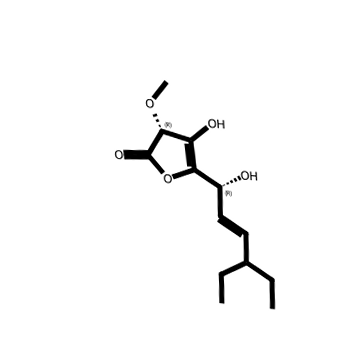 CCC(C=C[C@@H](O)C1=C(O)[C@@H](OC)C(=O)O1)CC